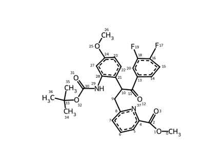 COC(=O)c1cccc(CC(C(=O)c2ccc(F)c(F)c2)c2ccc(OC)cc2NC(=O)OC(C)(C)C)n1